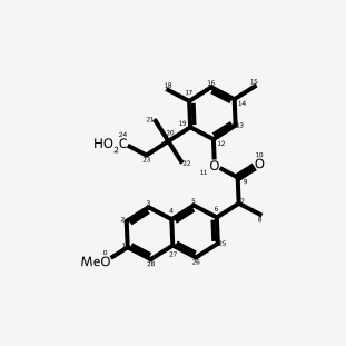 COc1ccc2cc(C(C)C(=O)Oc3cc(C)cc(C)c3C(C)(C)CC(=O)O)ccc2c1